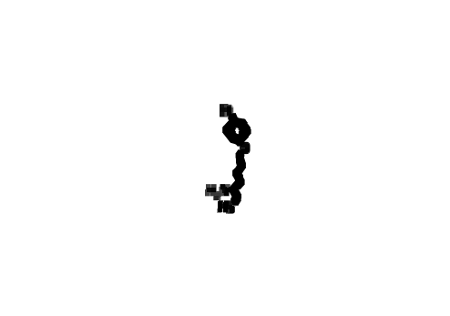 CCc1ccc(OCCCC[C@@H](N)CS)cc1